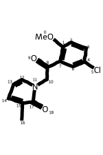 COc1ccc(Cl)cc1C(=O)Cn1cccc(C)c1=O